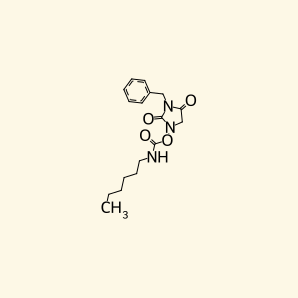 CCCCCCNC(=O)ON1CC(=O)N(Cc2ccccc2)C1=O